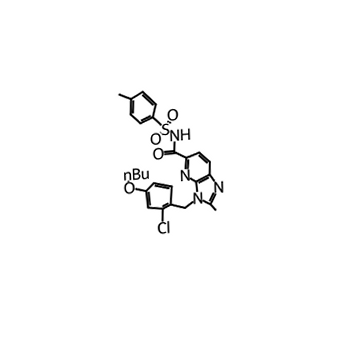 CCCCOc1ccc(Cn2c(C)nc3ccc(C(=O)NS(=O)(=O)c4ccc(C)cc4)nc32)c(Cl)c1